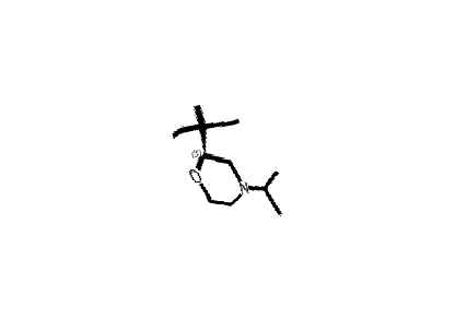 CC(C)N1CCO[C@@H](C(C)(C)C)C1